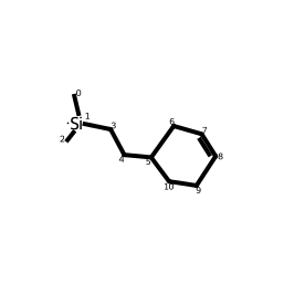 C[Si](C)CCC1CC=CCC1